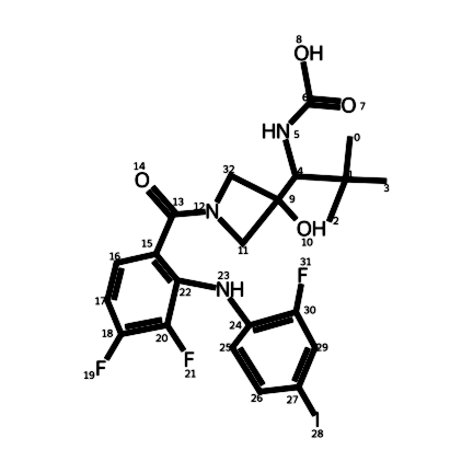 CC(C)(C)C(NC(=O)O)C1(O)CN(C(=O)c2ccc(F)c(F)c2Nc2ccc(I)cc2F)C1